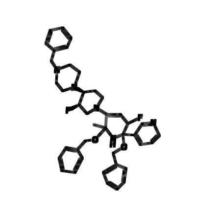 CC1(OCc2ccccc2)NC(OCc2ccccc2)(c2cccnc2)C(F)C=C1N1CC[C@H](N2CCN(Cc3ccccc3)CC2)[C@H](F)C1